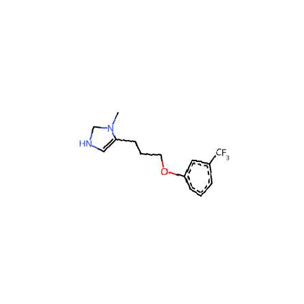 CN1CNC=C1CCCOc1cccc(C(F)(F)F)c1